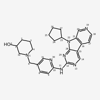 OC1CCCN(Cc2ccc(Nc3ncc4c5ccncc5n(C5CCCC5)c4n3)nc2)C1